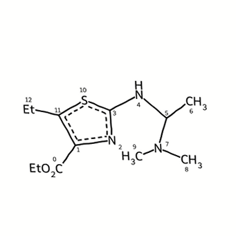 CCOC(=O)c1nc(NC(C)N(C)C)sc1CC